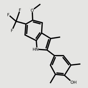 COc1cc2c(C)c(-c3cc(C)c(O)c(C)c3)[nH]c2cc1C(F)(F)F